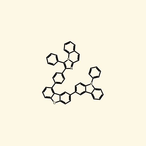 c1ccc(-c2c(-c3ccc(-c4cccc5oc6ccc(-c7ccc8c(c7)c7ccccc7n8-c7ccccc7)cc6c45)cc3)nc3ccc4ccccc4n23)cc1